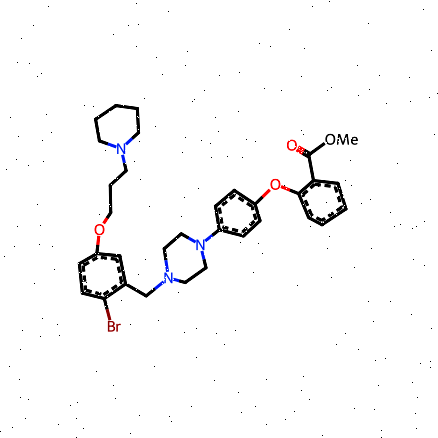 COC(=O)c1ccccc1Oc1ccc(N2CCN(Cc3cc(OCCCN4CCCCC4)ccc3Br)CC2)cc1